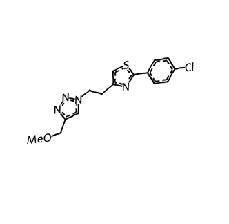 COCc1cn(CCc2csc(-c3ccc(Cl)cc3)n2)nn1